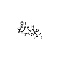 CC[C@@H](C)S(=O)(=O)Nc1ccc2c(c1)B(O)OC2